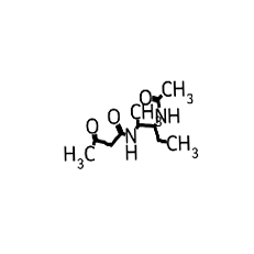 CCC(NC(C)=O)C(C)NC(=O)CC(C)=O